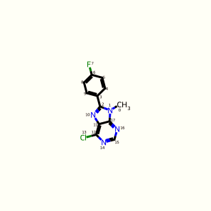 Cn1c(-c2ccc(F)cc2)nc2c(Cl)ncnc21